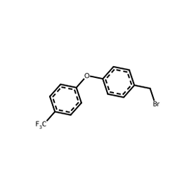 FC(F)(F)c1ccc(Oc2ccc(CBr)cc2)cc1